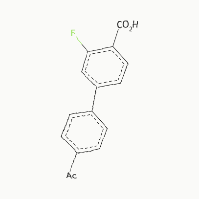 CC(=O)c1ccc(-c2ccc(C(=O)O)c(F)c2)cc1